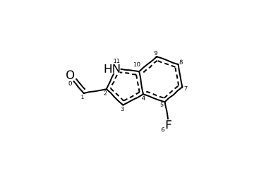 O=Cc1cc2c(F)cccc2[nH]1